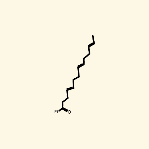 C/C=C/CC/C=C/CC/C=C/CCC(=O)CC